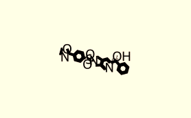 O=S(=O)(c1ccc(C2=NCCO2)cc1)N1Cc2cnc([C@H](O)c3ccccc3)cc2C1